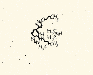 CCCOc1ccc(-c2ccc3ncnc(NCCC(C)C)c3c2)cn1.CNC